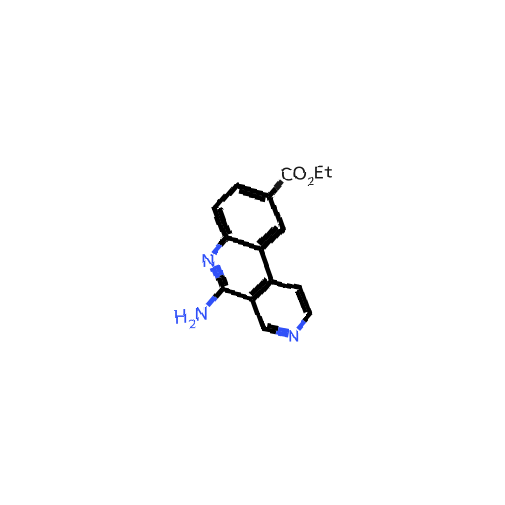 CCOC(=O)c1ccc2nc(N)c3cnccc3c2c1